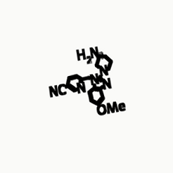 COc1ccc2c(c1)nc(N1CCC[C@H](N)C1)n2Cc1ccc(C#N)cn1